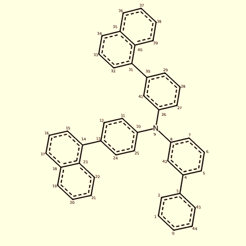 c1ccc(-c2cccc(N(c3ccc(-c4cccc5ccccc45)cc3)c3cccc(-c4cccc5ccccc45)c3)c2)cc1